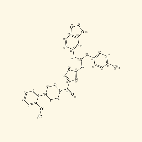 CCOc1ccccc1N1CCN(C(=O)c2csc(CN(Cc3ccc(C)cc3)Cc3ccc4c(c3)OCO4)n2)CC1